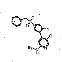 [2H]c1cn(S(=O)(=O)Cc2ccccc2)cc1-c1cc(NC(C)C)ncc1Cl